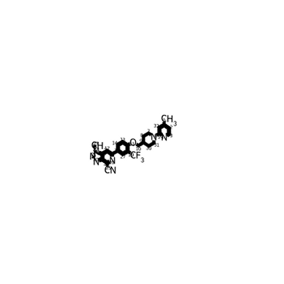 Cc1ccnc(N2CCC(COc3ccc(-c4cc5c(nnn5C)c(C#N)n4)cc3C(F)(F)F)CC2)c1